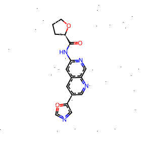 O=C(Nc1cc2cc(-c3cnco3)cnc2cn1)[C@H]1CCCO1